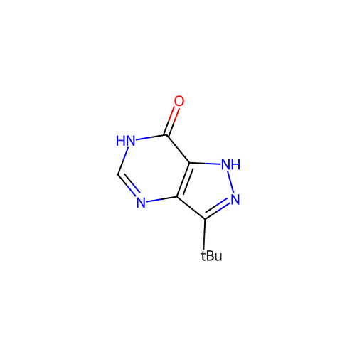 CC(C)(C)c1n[nH]c2c(=O)[nH]cnc12